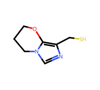 SCc1ncn2c1OCCC2